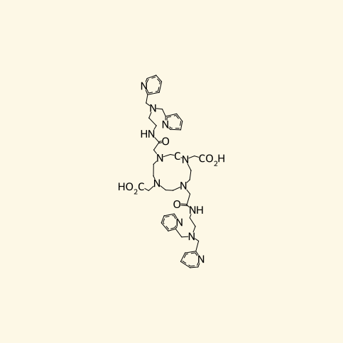 O=C(O)CN1CCN(CC(=O)NCCN(Cc2ccccn2)Cc2ccccn2)CCN(CC(=O)O)CCN(CC(=O)NCCN(Cc2ccccn2)Cc2ccccn2)CC1